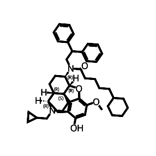 COc1cc(O)c2c3c1O[C@H]1[C@H](N(CC(c4ccccc4)c4ccccc4)C(=O)CCCCC4CCCCC4)CC[C@H]4[C@@H](C2)N(CC2CC2)CC[C@@]341